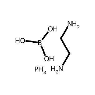 NCCN.OB(O)O.P